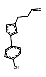 O=CCCc1csc(-c2ccc(O)cc2)n1